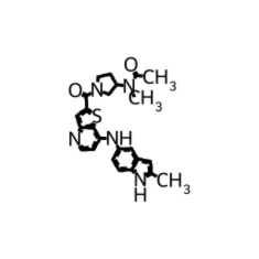 CC(=O)N(C)C1CCN(C(=O)c2cc3nccc(Nc4ccc5[nH]c(C)cc5c4)c3s2)C1